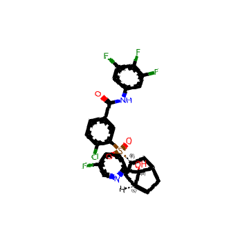 O=C(Nc1cc(F)c(F)c(F)c1)c1ccc(Cl)c(S(=O)(=O)[C@@H]2CC3CC[C@@H](C2)[C@@]3(O)c2ccc(F)cn2)c1